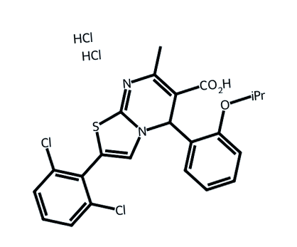 CC1=C(C(=O)O)C(c2ccccc2OC(C)C)N2C=C(c3c(Cl)cccc3Cl)SC2=N1.Cl.Cl